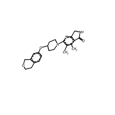 Cc1c(N2CCC(Oc3ccc4c(c3)COCC4)CC2)nc2c(c1C)C(=O)NC2